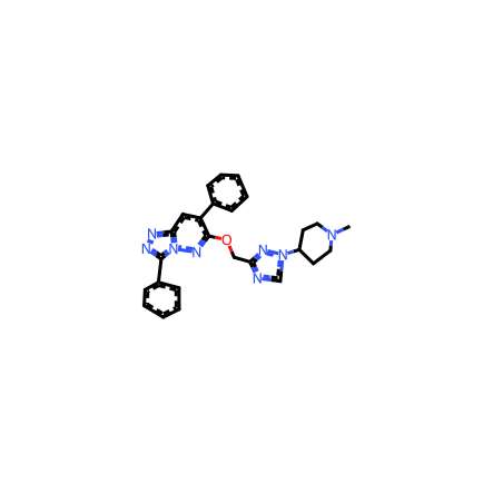 CN1CCC(n2cnc(COc3nn4c(-c5ccccc5)nnc4cc3-c3ccccc3)n2)CC1